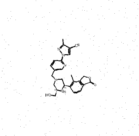 Cc1nn(-c2ccc(CN3C[C@H](CO)N[C@H](c4ccc5c(c4C)COC5=O)C3)cn2)cc1C#N